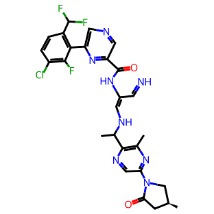 Cc1nc(N2C[C@@H](C)CC2=O)cnc1C(C)N/C=C(\C=N)NC(=O)c1cncc(-c2c(C(F)F)ccc(Cl)c2F)n1